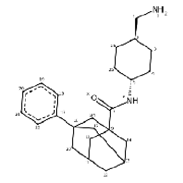 NC[C@H]1CC[C@H](NC(=O)C23CC4CC(C2)CC(c2ccccc2)(C4)C3)CC1